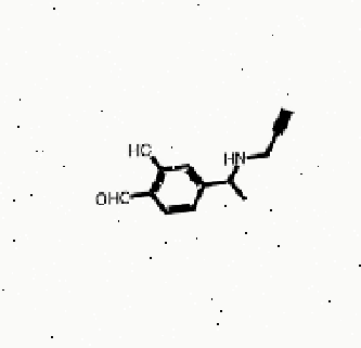 C#CCNC(C)c1ccc(C=O)c(O)c1